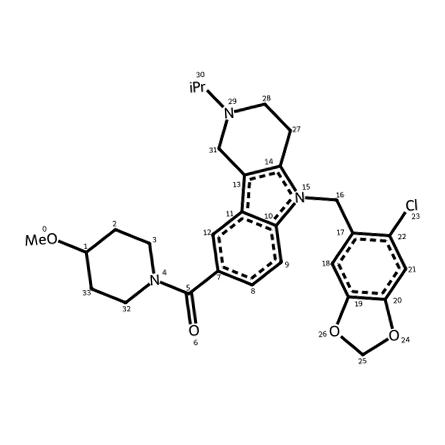 COC1CCN(C(=O)c2ccc3c(c2)c2c(n3Cc3cc4c(cc3Cl)OCO4)CCN(C(C)C)C2)CC1